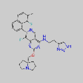 CC1C=Cc2cccc(-c3ncc4c(NCCc5c[nH]nn5)nc(OCC56CCCN5CCC6)nc4c3F)c2C1F